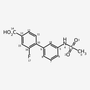 CS(=O)(=O)Nc1cccc(-c2ccc(C(=O)O)cc2F)c1